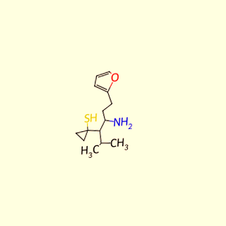 CC(C)C(C(N)CCc1ccco1)C1(S)CC1